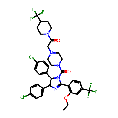 CCOc1cc(C(F)(F)F)ccc1C1=NC(c2ccc(Cl)cc2)C(c2ccc(Cl)cc2)N1C(=O)N1CCN(CC(=O)N2CCC(C(F)(F)F)CC2)CC1